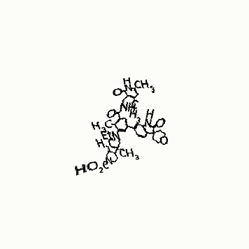 CCN(CC(C)(C)C1CCN(C(=O)O)CC1)c1cc(-c2ccc3c(c2)NC(=O)C32CCOCC2)cc(C(=O)NCc2c(C)cc(C)[nH]c2=O)c1C